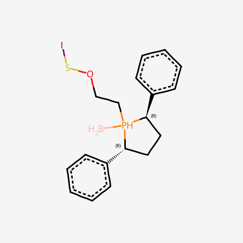 B[PH]1(CCOSI)[C@@H](c2ccccc2)CC[C@@H]1c1ccccc1